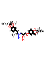 CCCC[Si]1(CCCC)OCc2cc(OCC(O)CNC(C)Cc3ccc4c(c3)OC(C(=O)O)(C(=O)O)O4)ccc2O1